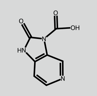 O=C(O)n1c(=O)[nH]c2ccncc21